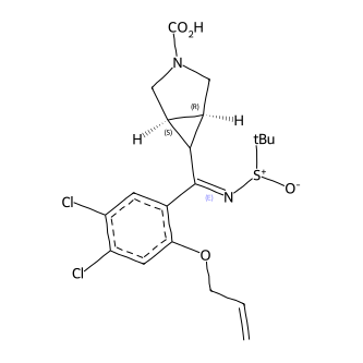 C=CCOc1cc(Cl)c(Cl)cc1/C(=N/[S+]([O-])C(C)(C)C)C1[C@H]2CN(C(=O)O)C[C@@H]12